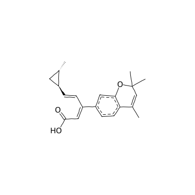 CC1=CC(C)(C)Oc2cc(C(/C=C/[C@H]3C[C@@H]3C)=C/C(=O)O)ccc21